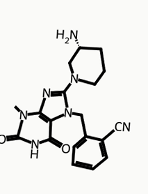 Cn1c(=O)[nH]c(=O)c2c1nc(N1CCC[C@@H](N)C1)n2Cc1ccccc1C#N